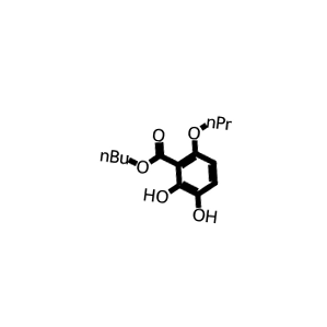 CCCCOC(=O)c1c(OCCC)ccc(O)c1O